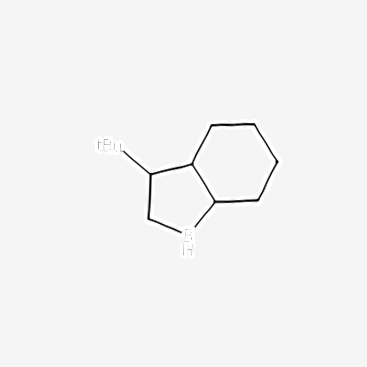 CC(C)(C)C1CBC2CCCCC21